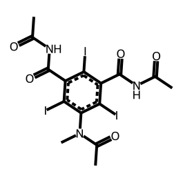 CC(=O)NC(=O)c1c(I)c(C(=O)NC(C)=O)c(I)c(N(C)C(C)=O)c1I